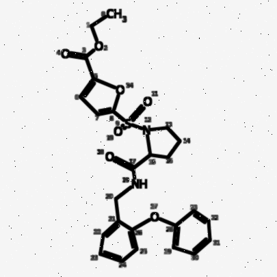 CCOC(=O)c1ccc(S(=O)(=O)N2CCCC2C(=O)NCc2ccccc2Oc2ccccc2)o1